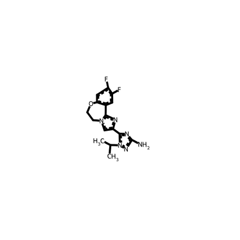 CC(C)n1nc(N)nc1-c1cn2c(n1)-c1cc(F)c(F)cc1OCC2